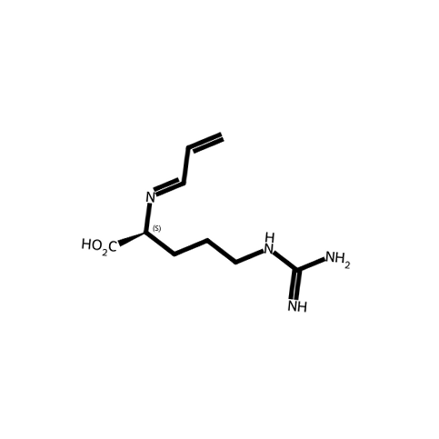 C=CC=N[C@@H](CCCNC(=N)N)C(=O)O